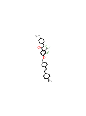 CCCC1CCC(CC(=O)c2ccc(OCC3CCC(CCC4CCC(CC)CC4)CC3)c(F)c2C(F)F)CC1